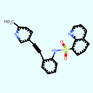 O=C(O)c1ccc(C#Cc2ccccc2NS(=O)(=O)c2cccc3cccnc23)cn1